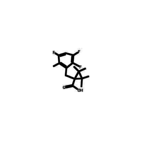 Cc1c(F)cc(F)c(F)c1CC1(C(=O)O)C(C)(C)C1(C)C